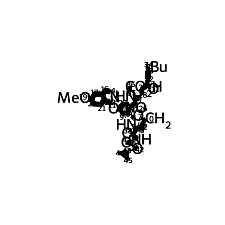 C=C[C@@H]1C[C@]1(NC(=O)[C@@H]1C[C@@H](Oc2nccc3cc(OC)ccc23)CN1C(=O)[C@H](CCC(=O)C#CC(C)(C)C)NC(=O)O)C(=O)NS(=O)(=O)C1CC1